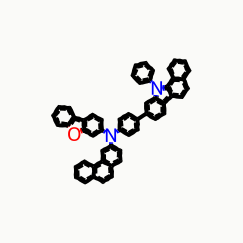 c1ccc(-n2c3cc(-c4ccc(N(c5ccc6c(c5)oc5ccccc56)c5ccc6ccc7ccccc7c6c5)cc4)ccc3c3ccc4ccccc4c32)cc1